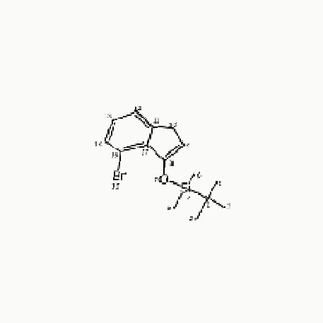 CC(C)(C)[Si](C)(C)OC1=CCc2cccc(Br)c21